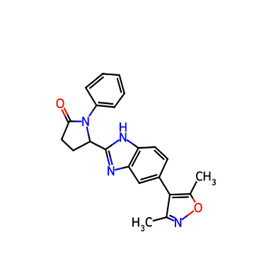 Cc1noc(C)c1-c1ccc2[nH]c(C3CCC(=O)N3c3ccccc3)nc2c1